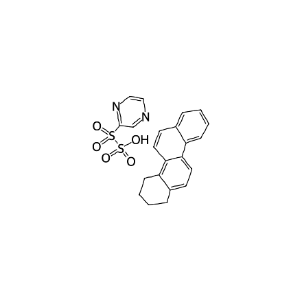 O=S(=O)(O)S(=O)(=O)c1cnccn1.c1ccc2c(c1)ccc1c3c(ccc12)CCCC3